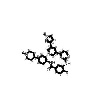 Cc1ccc(C(=O)Nc2ccc(C3CCN(C)CC3)cc2)cc1Nc1nccc(-c2cncc(-c3ccn(C)n3)c2)n1